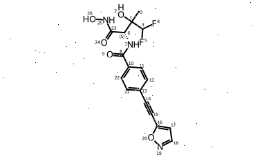 CC(O)(C(F)F)[C@H](NC(=O)c1ccc(C#Cc2ccno2)cc1)C(=O)NO